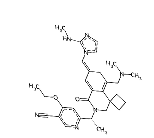 CCOc1cc([C@@H](C)N2CC3(CCC3)C3=C(CN(C)C)CC(=Cn4ccnc4NC)C=C3C2=O)ncc1C#N